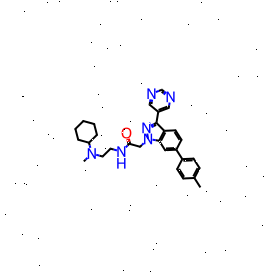 Cc1ccc(-c2ccc3c(-c4cncnc4)nn(CC(=O)NCCN(C)C4CCCCC4)c3c2)cc1